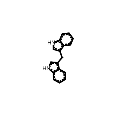 [CH](c1c[nH]c2ccccc12)c1c[nH]c2ccccc12